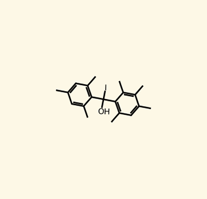 Cc1cc(C)c(C(O)(I)c2c(C)cc(C)c(C)c2C)c(C)c1